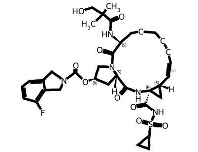 CC(C)(CO)C(=O)N[C@H]1CCCCC/C=C\[C@@H]2C[C@@]2(C(=O)NS(=O)(=O)C2CC2)NC(=O)[C@@H]2C[C@@H](OC(=O)N3Cc4cccc(F)c4C3)CN2C1=O